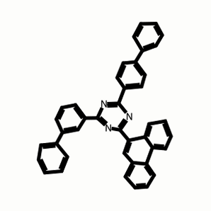 c1ccc(-c2ccc(-c3nc(-c4cccc(-c5ccccc5)c4)nc(-c4cc5ccccc5c5ccccc45)n3)cc2)cc1